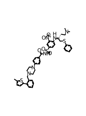 Cc1ccc(-c2ccccc2CN2CCN(c3ccc(C(=O)NS(=O)(=O)c4ccc(N[C@H](CCN(C)C)CSc5ccccc5)c([N+](=O)[O-])c4)cc3)CC2)s1